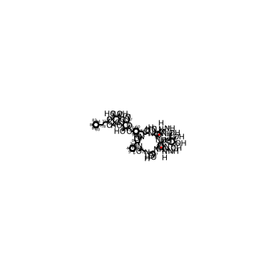 CC(c1ccccc1)C1NC(=O)CNC(=O)C(CO)NC(=O)C(C(O)C2CNC(=N)N2C2OC(CO)C(O)C(O)C2O)NC(=O)C(C(O)C2CNC(=N)N2)NC(=O)C(Cc2ccc(OC3OC(CO)C(OC4OC5COC(CCc6ccccc6)OC5C(O)C4O)C(O)C3O)cc2)NC1=O